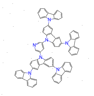 c1ccc2c(c1)c1ccccc1n2-c1ccc2c(c1)c1cc(-n3c4ccccc4c4ccccc43)ccc1n2-c1cncc(-n2c3ccc(-n4c5ccccc5c5ccccc54)cc3c3cc(-n4c5ccccc5c5ccccc54)ccc32)c1